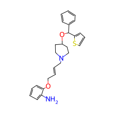 Nc1ccccc1OC/C=C/CN1CCC(OC(c2ccccc2)c2cccs2)CC1